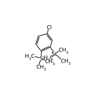 C[Si](C)(C)c1ccc(Cl)cc1[Si](C)(C)C